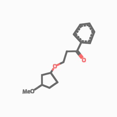 COC1CCC(OCCC(=O)c2ccccc2)C1